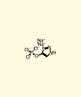 O=P([O-])([O-])Oc1c[nH]nn1.[Na+].[Na+]